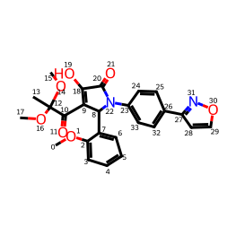 COc1ccccc1C1C(C(=O)C(C)(OC)OC)=C(O)C(=O)N1c1ccc(-c2ccon2)cc1